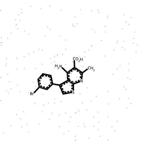 Cc1nc2scc(-c3cccc(Br)c3)c2c(N)c1C(=O)O